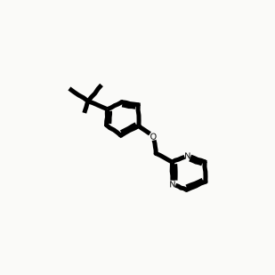 CC(C)(C)c1ccc(OCc2ncccn2)cc1